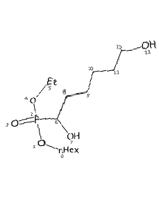 CCCCCCOP(=O)(OCC)C(O)CCCCCO